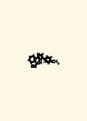 CC[C@H](C)C(=O)N1CCCCC1c1ncc(-c2ccc(C)cc2)[nH]1